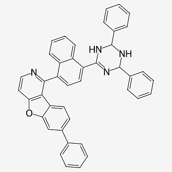 c1ccc(-c2ccc3c(c2)oc2ccnc(-c4ccc(C5=NC(c6ccccc6)NC(c6ccccc6)N5)c5ccccc45)c23)cc1